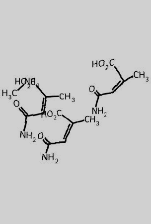 C/C(=C/C(N)=O)C(=O)O.C/C(=C/C(N)=O)C(=O)O.C/C(=C/C(N)=O)C(=O)O.CN